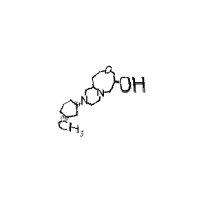 C[C@@H]1CCC[C@H](N2CCN3CC(O)COCCC3C2)C1